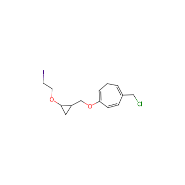 ClCC1=CCC=C(OCC2CC2OCCI)C=C1